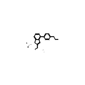 CCCc1ccc(-c2cccc3c2C=C(CC)[CH]3[Zr+2][Si](C)C)cc1.[Cl-].[Cl-]